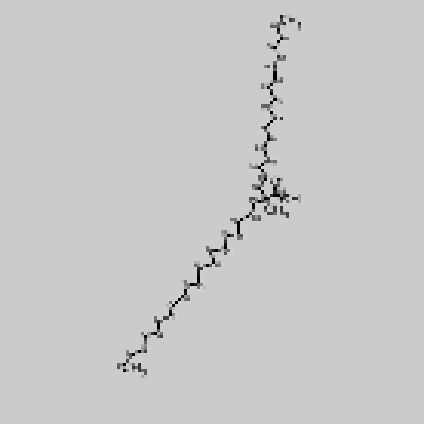 CCCCCCCCCCCCCCCCCCCCC(C)(CCCCCCCCCCCCCCCCCC)C(=O)O